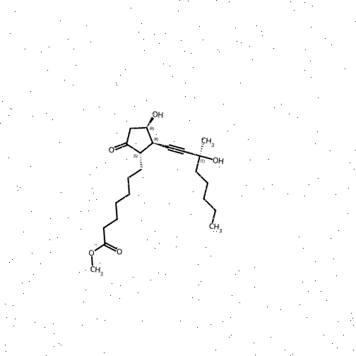 CCCCC[C@](C)(O)C#C[C@@H]1[C@H](O)CC(=O)[C@H]1CCCCCCC(=O)OC